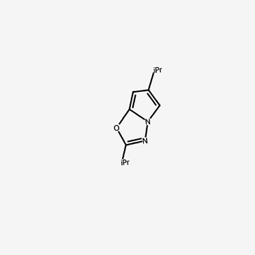 CC(C)c1cc2oc(C(C)C)nn2c1